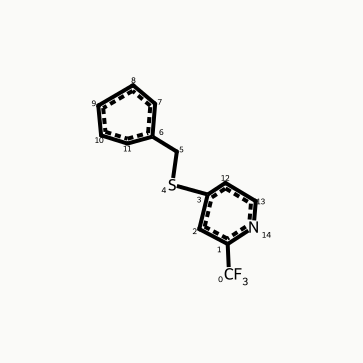 FC(F)(F)c1cc(SCc2ccccc2)ccn1